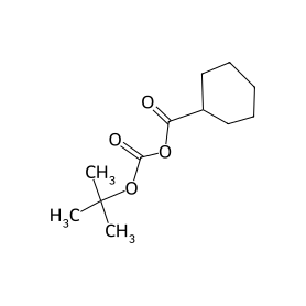 CC(C)(C)OC(=O)OC(=O)C1CCCCC1